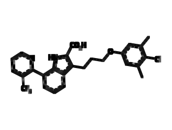 Cc1cc(OCCCc2c(C(=O)O)[nH]c3c(-c4ncccc4C(F)(F)F)cccc23)cc(C)c1Cl